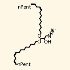 CCCCC/C=C\C/C=C\CCCCCCCCOC(OCCCCCCCC/C=C\C/C=C\CCCCC)C(O)CN=[N+]=[N-]